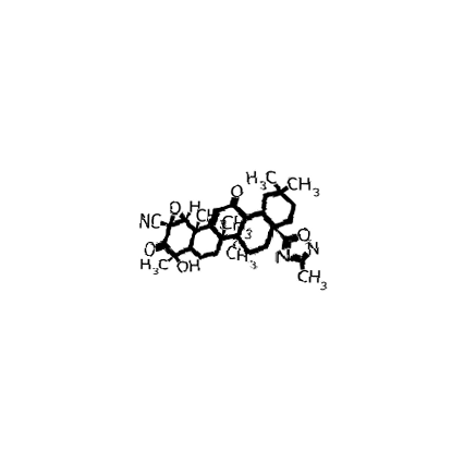 Cc1noc([C@]23CCC(C)(C)CC2C2C(=O)C=C4[C@]5(C)C(CC[C@@]4(C)[C@]2(C)CC3)[C@](C)(O)C(=O)[C@]2(C#N)O[C@@H]25)n1